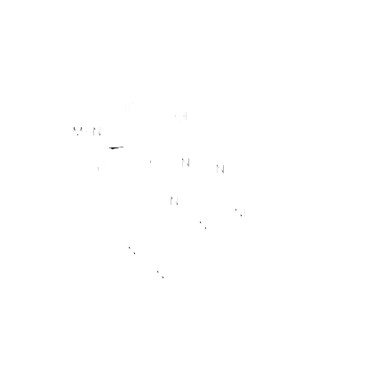 CNC(=O)[C@@H]1OC(n2cnc3c(NCc4ccccc4)nc(-c4cncnc4)nc32)C(O)C1O